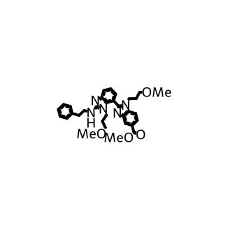 COCCCn1c(-c2cccc3nc(NCCc4ccccc4)n(CCCOC)c23)nc2cc(C(=O)OC)ccc21